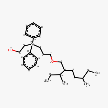 CC(CCC(COCCC[Si](CCO)(c1ccccc1)c1ccccc1)C(C)CC(C)(C)C)CC(C)(C)C